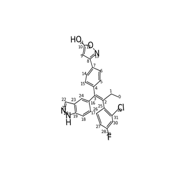 CC/C(=C(\c1ccc(-c2cc(O)on2)cc1)c1ccc2[nH]ncc2c1)c1ccc(F)cc1Cl